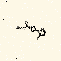 CC(C)(C)OC(=O)N1CC(n2nccc2I)C1